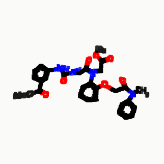 COC(=O)c1cccc(NC(=O)NCC(=O)N(CC(=O)OC(C)(C)C)c2ccccc2OCC(=O)N(C)c2ccccc2)c1